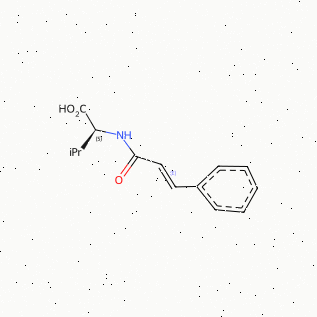 CC(C)[C@H](NC(=O)/C=C/c1ccccc1)C(=O)O